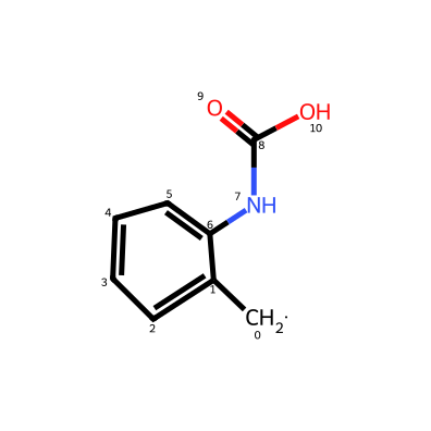 [CH2]c1ccccc1NC(=O)O